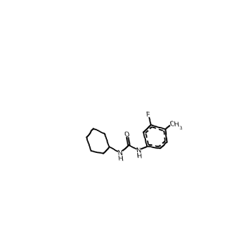 Cc1ccc(NC(=O)NC2CCCCC2)cc1F